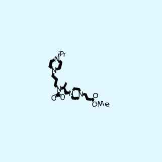 COC(=O)CCN1CCN(C2OC(=O)N(CCCN3CCN(C(C)C)CC3)C2C)CC1